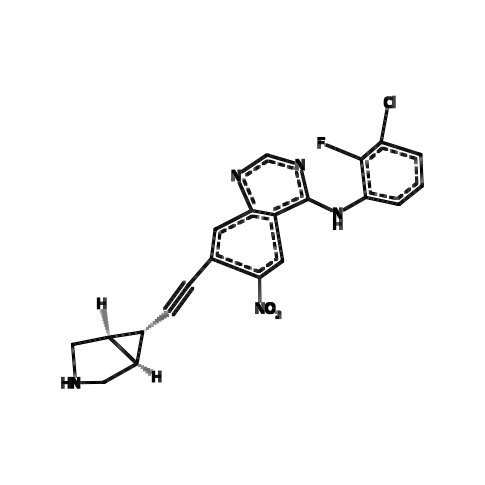 O=[N+]([O-])c1cc2c(Nc3cccc(Cl)c3F)ncnc2cc1C#C[C@@H]1[C@H]2CNC[C@@H]12